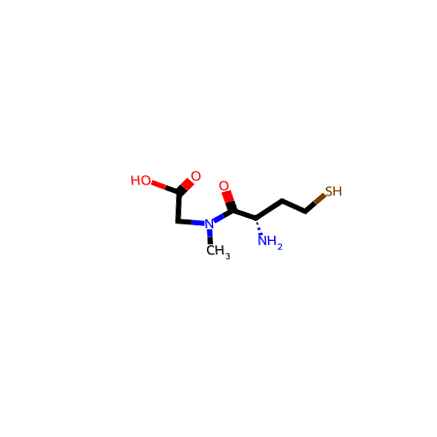 CN(CC(=O)O)C(=O)[C@@H](N)CCS